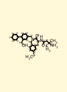 CSc1ccc2c(c1)S[C@@H](NC(=O)CC(C)(C)N)C(=O)N(Cc1ccc(-c3ccccc3)c(CO)c1)C2